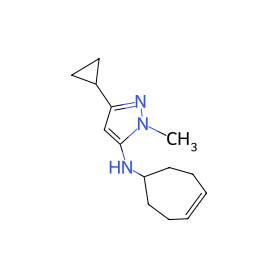 Cn1nc(C2CC2)cc1NC1CCC=CCC1